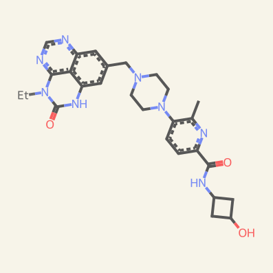 CCN1C(=O)Nc2cc(CN3CCN(c4ccc(C(=O)NC5CC(O)C5)nc4C)CC3)cc3ncnc1c23